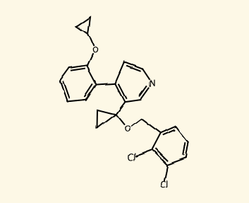 Clc1cccc(COC2(c3cnccc3-c3ccccc3OC3CC3)CC2)c1Cl